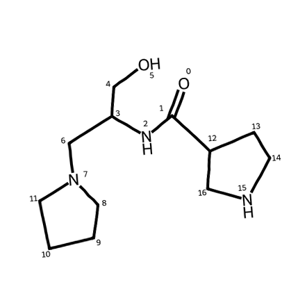 O=C(NC(CO)CN1CCCC1)C1CCNC1